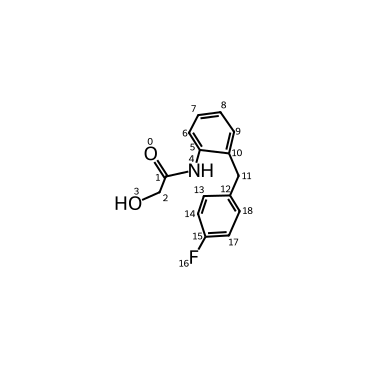 O=C(CO)Nc1ccccc1Cc1ccc(F)cc1